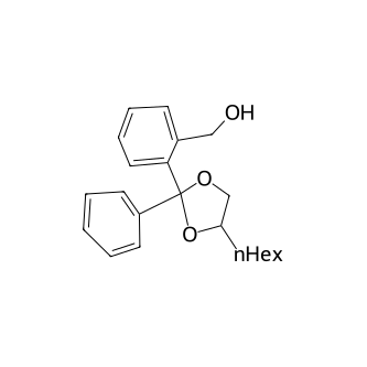 CCCCCCC1COC(c2ccccc2)(c2ccccc2CO)O1